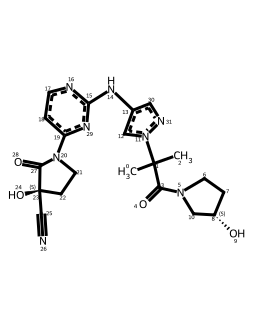 CC(C)(C(=O)N1CC[C@H](O)C1)n1cc(Nc2nccc(N3CC[C@](O)(C#N)C3=O)n2)cn1